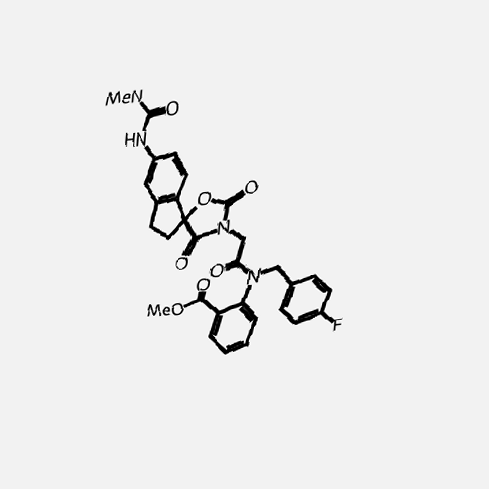 CNC(=O)Nc1ccc2c(c1)CCC21OC(=O)N(CC(=O)N(Cc2ccc(F)cc2)c2ccccc2C(=O)OC)C1=O